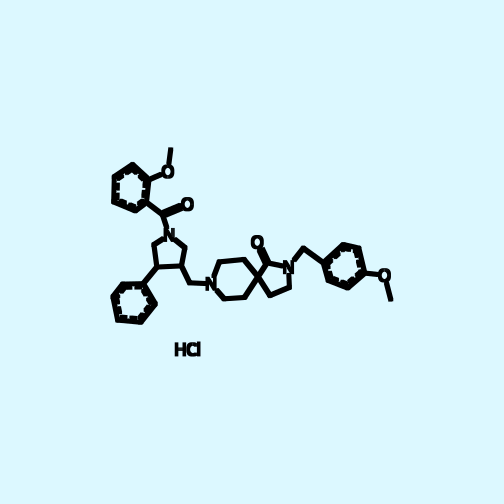 COc1ccc(CN2CCC3(CCN(CC4CN(C(=O)c5ccccc5OC)CC4c4ccccc4)CC3)C2=O)cc1.Cl